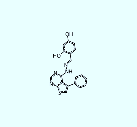 Oc1ccc(/C=N/Nc2ncnc3scc(-c4ccccc4)c23)c(O)c1